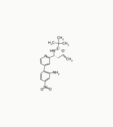 C=CC[C@@H](N[S@@+]([O-])C(C)(C)C)c1cc(-c2ccc([N+](=O)[O-])cc2N)ccn1